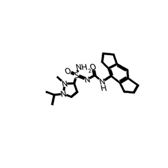 CC(C)N1CCC(S(N)(=O)=NC(=O)Nc2c3c(cc4c2CCC4)CCC3)N1C